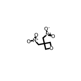 O=[N+]([O-])CC1(C[N+](=O)[O-])COC1